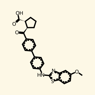 COc1ccc2sc(Nc3ccc(-c4ccc(C(=O)[C@@H]5CCC[C@H]5C(=O)O)cc4)cc3)nc2c1